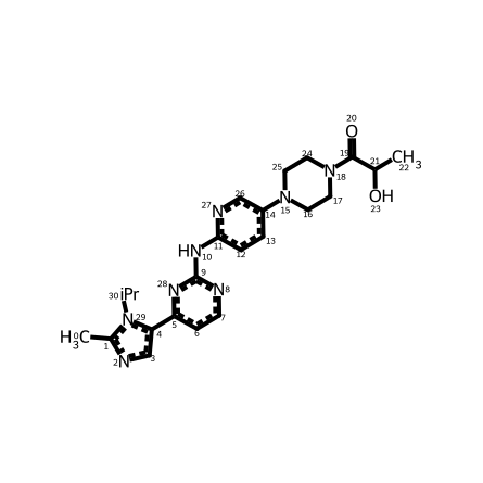 Cc1ncc(-c2ccnc(Nc3ccc(N4CCN(C(=O)C(C)O)CC4)cn3)n2)n1C(C)C